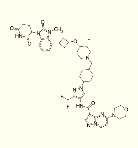 Cn1c(=O)n(C2CCC(=O)NC2=O)c2cccc([C@H]3C[C@H](O[C@H]4CCN(CC5CCC(n6cc(NC(=O)c7cnn8ccc(N9CCOCC9)nc78)c(C(F)F)n6)CC5)C[C@H]4F)C3)c21